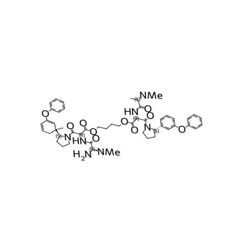 CN[C@@H](C)C(=O)N[C@@H](C(=O)OCCCCOC(=O)[C@H](NC(=O)[C@H](N)NC)C(=O)N1CCC[C@H]1C1(C)C=C(Oc2ccccc2)C=CC1)C(=O)N1CCC[C@H]1c1cccc(Oc2ccccc2)c1